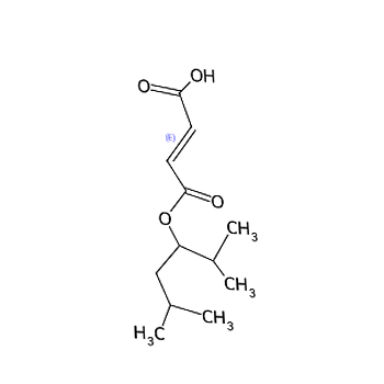 CC(C)CC(OC(=O)/C=C/C(=O)O)C(C)C